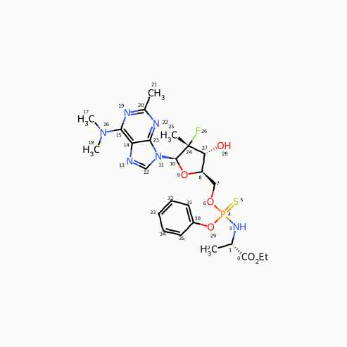 CCOC(=O)[C@H](C)NP(=S)(OC[C@H]1O[C@@H](n2cnc3c(N(C)C)nc(C)nc32)[C@](C)(F)[C@@H]1O)Oc1ccccc1